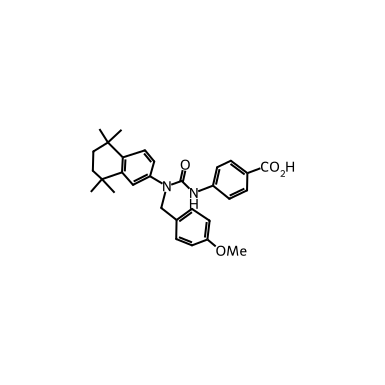 COc1ccc(CN(C(=O)Nc2ccc(C(=O)O)cc2)c2ccc3c(c2)C(C)(C)CCC3(C)C)cc1